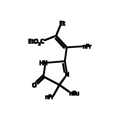 CCCCC1(CCC)N=C(C(CCC)=C(CC)C(=O)OCC)NC1=O